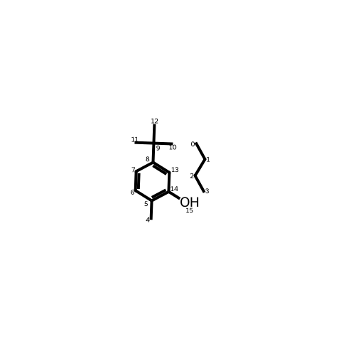 CCCC.Cc1ccc(C(C)(C)C)cc1O